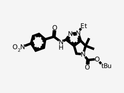 CCn1nc(NC(=O)c2ccc([N+](=O)[O-])cc2)c2c1C(C)(C)N(C(=O)OC(C)(C)C)C2